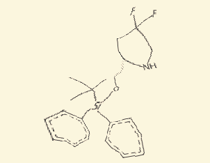 CC(C)(C)[Si](OC[C@@H]1CC(F)(F)CN1)(c1ccccc1)c1ccccc1